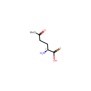 COC(=O)CC[C@H](N)C(O)=S